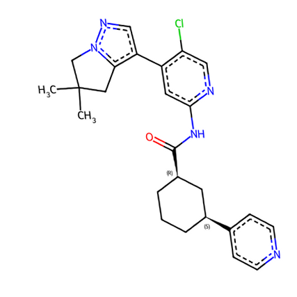 CC1(C)Cc2c(-c3cc(NC(=O)[C@@H]4CCC[C@H](c5ccncc5)C4)ncc3Cl)cnn2C1